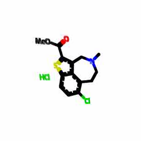 COC(=O)c1sc2ccc(Cl)c3c2c1CN(C)CC3.Cl